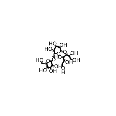 OC[C@@H](O)[C@@H](O[C@@H]1O[C@H](CO[C@@H]2O[C@H](CO)[C@@H](O)[C@H](O)[C@H]2O)[C@@H](O)[C@H](O)[C@H]1O)[C@H](O)[C@@H](O)CO